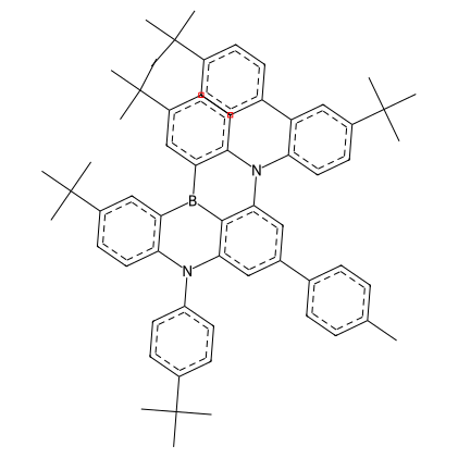 Cc1ccc(-c2cc3c4c(c2)N(c2ccc(C(C)(C)C)cc2-c2ccc(C(C)(C)C)cc2)c2ccc(C(C)(C)C)cc2B4c2cc(C(C)(C)C)ccc2N3c2ccc(C(C)(C)C)cc2)cc1